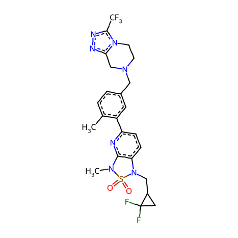 Cc1ccc(CN2CCn3c(nnc3C(F)(F)F)C2)cc1-c1ccc2c(n1)N(C)S(=O)(=O)N2CC1CC1(F)F